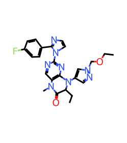 CCOCn1cc(N2c3nc(-n4ccnc4-c4ccc(F)cc4)ncc3N(C)C(=O)C2CC)cn1